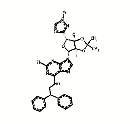 CCn1cnc([C@H]2O[C@@H](n3cnc4c(NCC(c5ccccc5)c5ccccc5)nc(Cl)nc43)[C@@H]3OC(C)(C)O[C@@H]32)n1